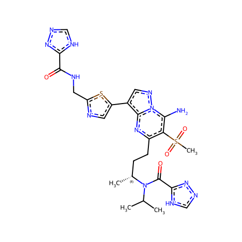 CC(C)N(C(=O)c1nnc[nH]1)[C@H](C)CCc1nc2c(-c3cnc(CNC(=O)c4nnc[nH]4)s3)cnn2c(N)c1S(C)(=O)=O